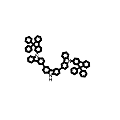 c1ccc(C2(c3ccccc3)c3ccccc3-c3ccc(-n4c5ccccc5c5cc(-c6ccc7[nH]c8ccc(-c9ccc%10c(c9)c9ccccc9n%10-c9ccc%10c(c9)C(c9ccccc9)(c9ccccc9)c9ccccc9-%10)cc8c7c6)ccc54)cc32)cc1